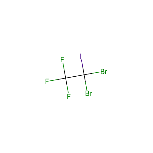 FC(F)(F)C(Br)(Br)I